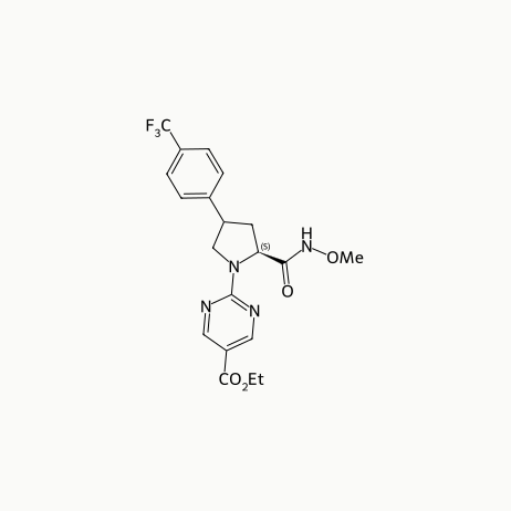 CCOC(=O)c1cnc(N2CC(c3ccc(C(F)(F)F)cc3)C[C@H]2C(=O)NOC)nc1